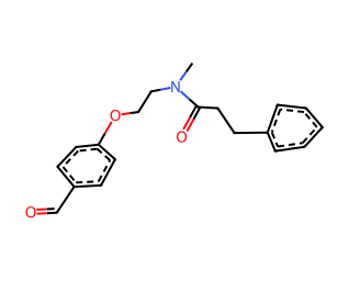 CN(CCOc1ccc(C=O)cc1)C(=O)CCc1ccccc1